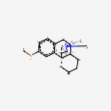 CSc1ccc2c(c1)[C@]13CCCC[C@@H]1[C@H](C2)N(C)CC3